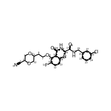 N#CC1COC(CCOc2c(F)ccc3nc(C(=O)NCc4cccc(Cl)c4)[nH]c(=O)c23)CO1